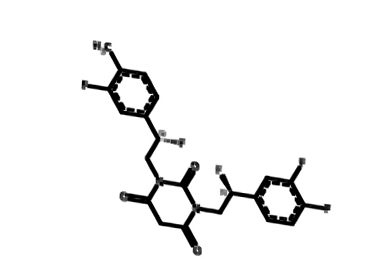 Cc1ccc([C@H](F)CN2C(=O)CC(=O)N(C[C@@H](F)c3ccc(F)c(F)c3)C2=O)cc1F